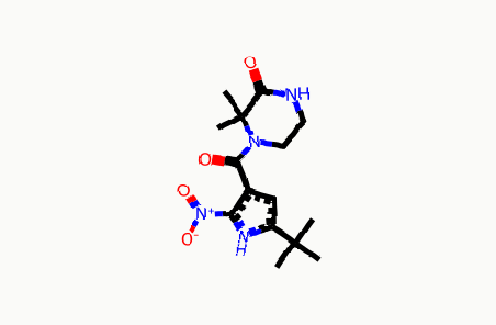 CC(C)(C)c1cc(C(=O)N2CCNC(=O)C2(C)C)c([N+](=O)[O-])[nH]1